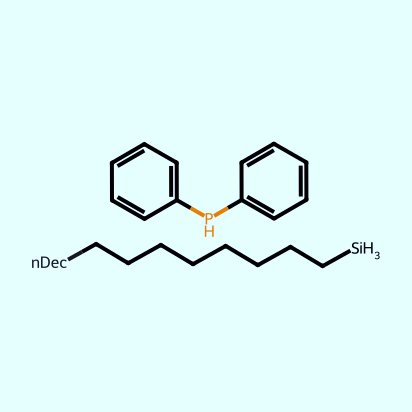 CCCCCCCCCCCCCCCCCC[SiH3].c1ccc(Pc2ccccc2)cc1